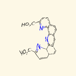 O=C(O)C1=NC2c3nc4c(ccc5ccc(C(=O)O)nc54)cc3C=CC2C=C1